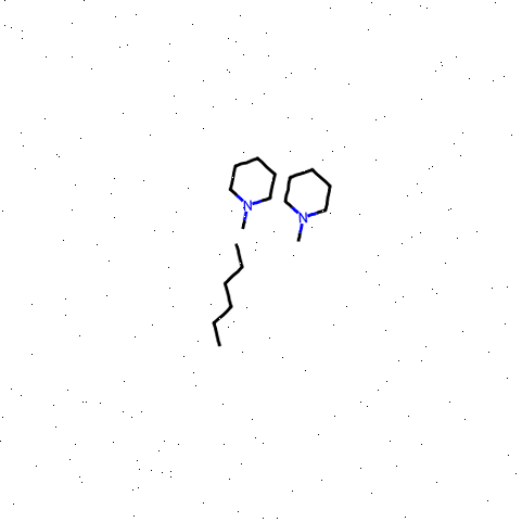 CCCCCC.CN1CCCCC1.CN1CCCCC1